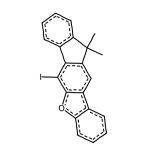 CC1(C)c2ccccc2-c2c1cc1c(oc3ccccc31)c2I